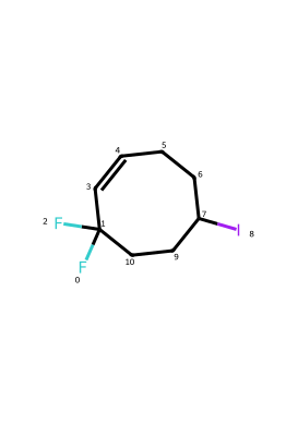 FC1(F)/C=C\CCC(I)CC1